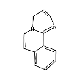 C1=CN=C2c3ccccc3C=CN2C1